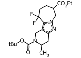 CCOC(=O)C1CCC(F)(F)c2c3c(nn2C1)C[C@@H](C)N(C(=O)OC(C)(C)C)C3